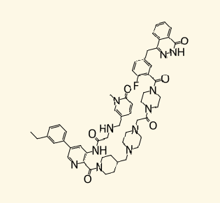 CCc1cccc(-c2cnc(C(=O)N3CCC(CN4CCN(CC(=O)N5CCN(C(=O)c6cc(Cc7n[nH]c(=O)c8ccccc78)ccc6F)CC5)CC4)CC3)c(NC(=O)CNCc3ccc(=O)n(C)c3)c2)c1